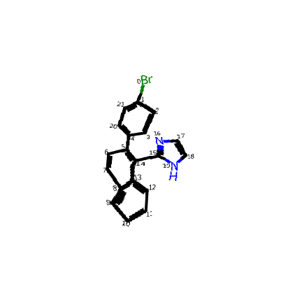 Brc1ccc(-c2ccc3ccccc3c2-c2ncc[nH]2)cc1